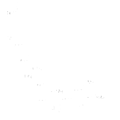 COc1ccc(C(=O)Nc2cc(NC(=O)c3ccc(OCCN4CCCC4)cc3)ccc2C)cc1OC